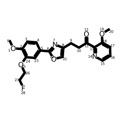 COc1ccc(-c2nc(CCC(=O)c3ncccc3OC)co2)cc1OCCF